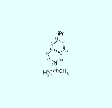 C=C(C)N1CCc2cc(C(C)C)ccc2C1